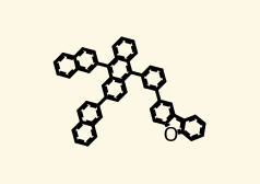 c1cc(-c2ccc3oc4ccccc4c3c2)cc(-c2c3ccccc3c(-c3ccc4ccccc4c3)c3cc(-c4ccc5ccccc5c4)ccc23)c1